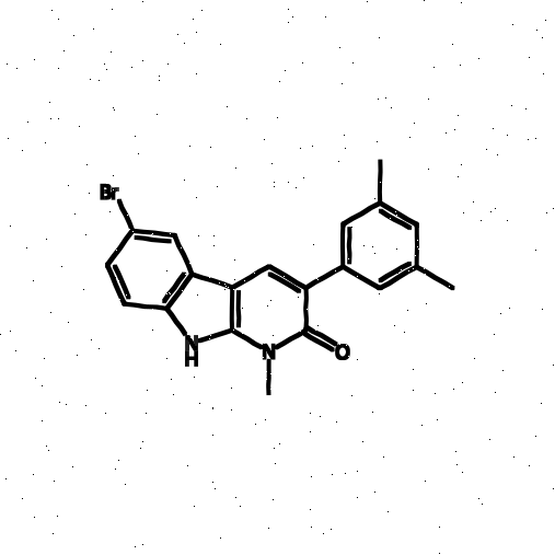 Cc1cc(C)cc(-c2cc3c4cc(Br)ccc4[nH]c3n(C)c2=O)c1